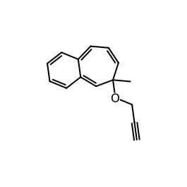 C#CCOC1(C)C=CC=c2ccccc2=C1